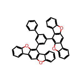 c1ccc(-c2cc(-c3c4oc5ccccc5c4cc4oc5ccccc5c34)cc(-c3c4oc5ccccc5c4cc4oc5ccccc5c34)c2)cc1